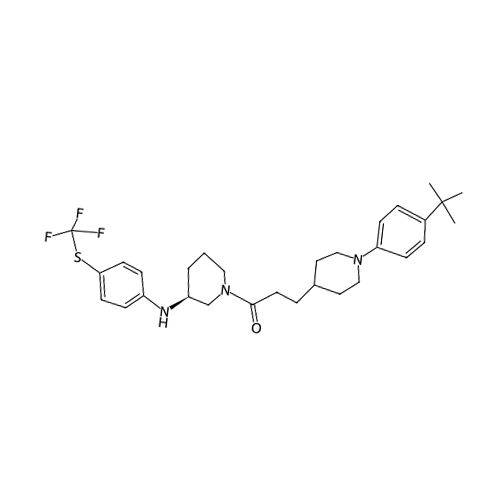 CC(C)(C)c1ccc(N2CCC(CCC(=O)N3CCC[C@H](Nc4ccc(SC(F)(F)F)cc4)C3)CC2)cc1